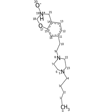 CCCCCN1CCN(CCc2ccc3c(c2)OC[NH+]([O-])C3)CC1